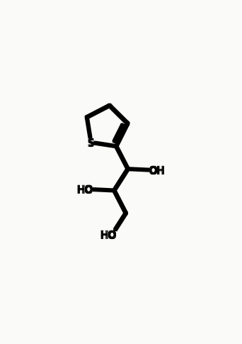 OCC(O)C(O)C1=CCCS1